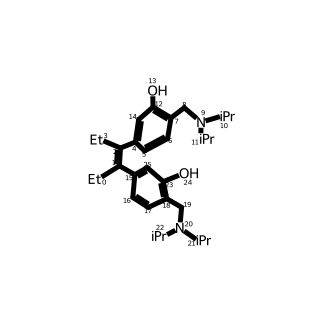 CCC(=C(CC)c1ccc(CN(C(C)C)C(C)C)c(O)c1)c1ccc(CN(C(C)C)C(C)C)c(O)c1